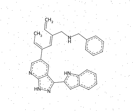 C=C/C(=C\C(=C/C)c1cnc2[nH]nc(-c3cc4ccccc4[nH]3)c2c1)CNCc1ccccc1